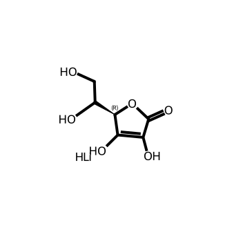 O=C1O[C@H](C(O)CO)C(O)=C1O.[LiH]